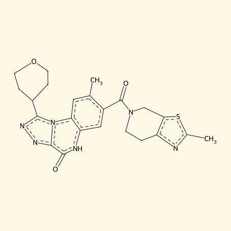 Cc1nc2c(s1)CN(C(=O)c1cc3[nH]c(=O)c4nnc(C5CCOCC5)n4c3cc1C)CC2